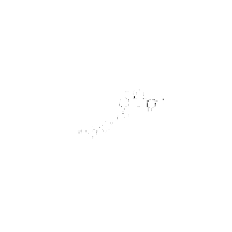 CCOc1cncc([C@H](CC(=O)O)NC(=O)[C@@H]2CCCN(C(=O)CCC3CCN(C(=O)OC(C)(C)C)CC3)C2)c1